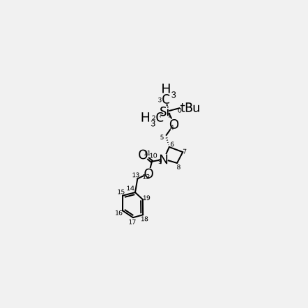 CC(C)(C)[Si](C)(C)OC[C@@H]1CCN1C(=O)OCc1ccccc1